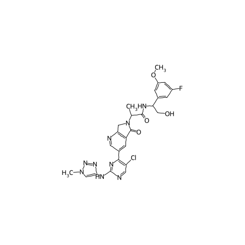 COc1cc(F)cc(C(CO)NC(=O)C(C)N2Cc3ncc(-c4nc(Nc5cn(C)nn5)ncc4Cl)cc3C2=O)c1